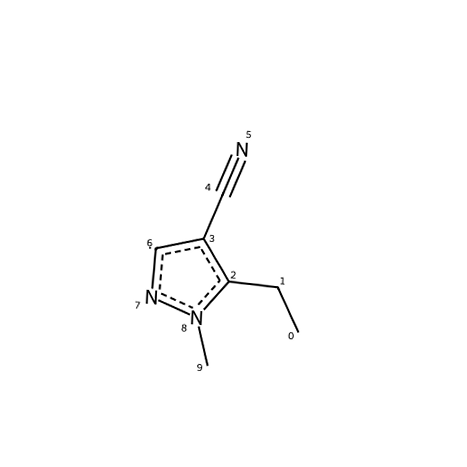 CCc1c(C#N)[c]nn1C